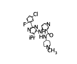 CC(C)c1cnc(-c2cc(Cl)ccc2F)nc1Nc1ccncc1C(=O)NC1CCN(C)CC1